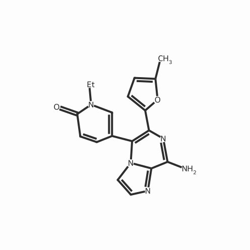 CCn1cc(-c2c(-c3ccc(C)o3)nc(N)c3nccn23)ccc1=O